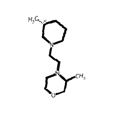 CC1COCCN1CCN1CCC[C@@H](C)C1